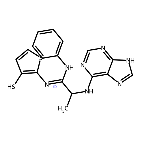 CC(Nc1ncnc2[nH]cnc12)/C(=N/c1sccc1S)Nc1ccccc1